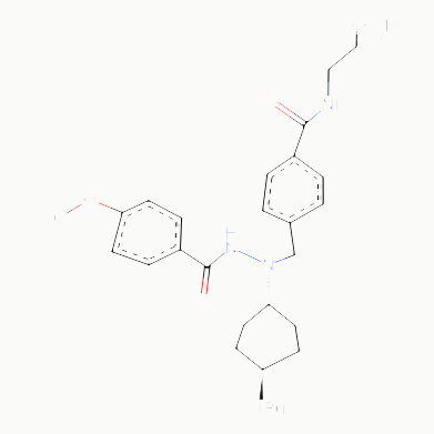 CC(C)(C)[C@H]1CC[C@H](N(Cc2ccc(C(=O)NCCC(=O)O)cc2)NC(=O)c2ccc(OC(F)(F)F)cc2)CC1